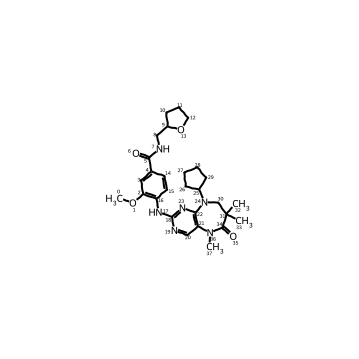 COc1cc(C(=O)NCC2CCCO2)ccc1Nc1ncc2c(n1)N(C1CCCC1)CC(C)(C)C(=O)N2C